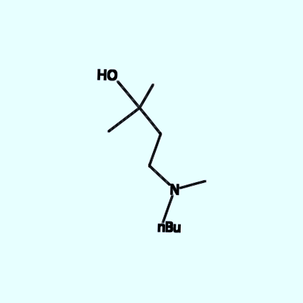 CCCCN(C)CCC(C)(C)O